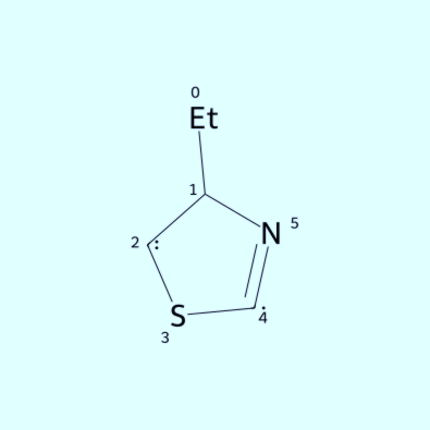 CCC1[C]S[C]=N1